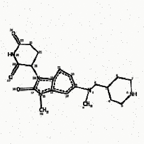 CN(CC1CCNCC1)c1ccc2c(c1)n(C)c(=O)n2C1CCC(=O)NC1=O